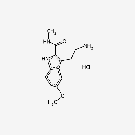 CNC(=O)c1[nH]c2ccc(OC)cc2c1CCN.Cl